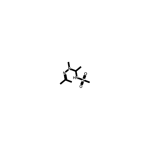 CC(C)=NN(C)C(C)NS(C)(=O)=O